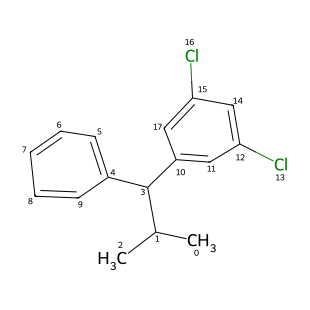 CC(C)C(c1ccccc1)c1cc(Cl)cc(Cl)c1